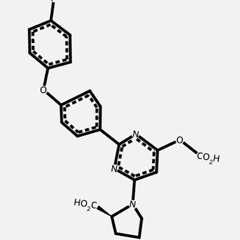 O=C(O)Oc1cc(N2CCC[C@H]2C(=O)O)nc(-c2ccc(Oc3ccc(F)cc3)cc2)n1